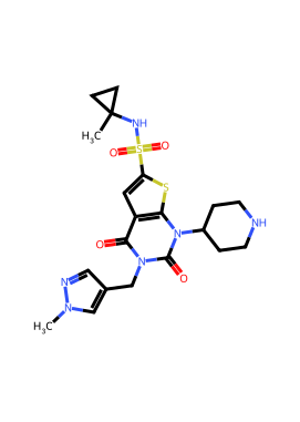 Cn1cc(Cn2c(=O)c3cc(S(=O)(=O)NC4(C)CC4)sc3n(C3CCNCC3)c2=O)cn1